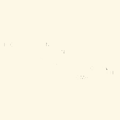 COc1cc(-n2ccnc(Sc3ccc(C)cc3)c2=O)ccc1OC1CCC[C@H]1C